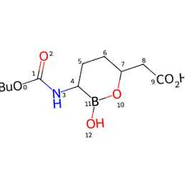 CC(C)COC(=O)NC1CCC(CC(=O)O)OB1O